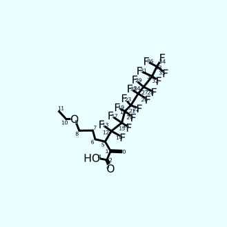 C=C(C(=O)O)C(CCCOCC)C(F)(F)C(F)(F)C(F)(F)C(F)(F)C(F)(F)C(F)(F)C(F)(F)C(F)(F)F